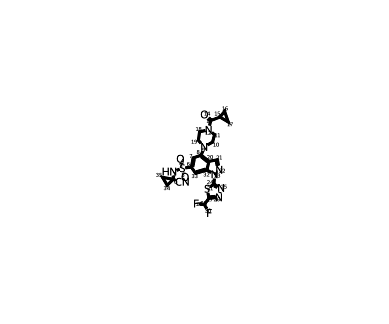 N#CC1(NS(=O)(=O)c2cc(N3CCN(C(=O)C4CC4)CC3)c3cnn(-c4nnc(C(F)F)s4)c3c2)CC1